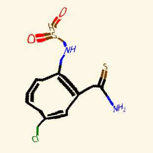 NC(=S)c1cc(Cl)ccc1N[SH](=O)=O